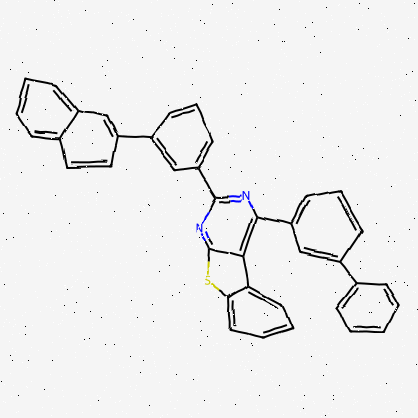 c1ccc(-c2cccc(-c3nc(-c4cccc(-c5ccc6ccccc6c5)c4)nc4sc5ccccc5c34)c2)cc1